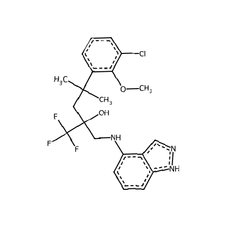 COc1c(Cl)cccc1C(C)(C)CC(O)(CNc1cccc2[nH]ncc12)C(F)(F)F